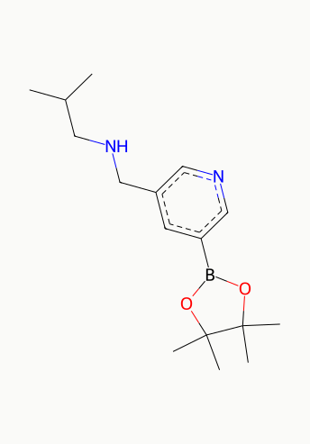 CC(C)CNCc1cncc(B2OC(C)(C)C(C)(C)O2)c1